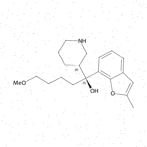 COCCCC[C@@](O)(c1cccc2cc(C)oc12)[C@@H]1CCCNC1